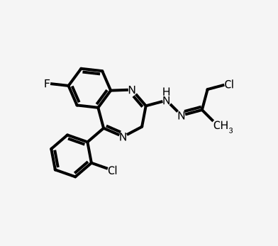 CC(CCl)=NNC1=Nc2ccc(F)cc2C(c2ccccc2Cl)=NC1